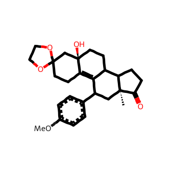 COc1ccc(C2C[C@]3(C)C(=O)CCC3C3CC[C@@]4(O)CC5(CCC4=C23)OCCO5)cc1